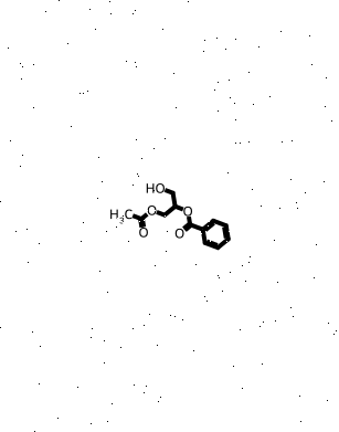 CC(=O)OCC(CO)OC(=O)c1ccccc1